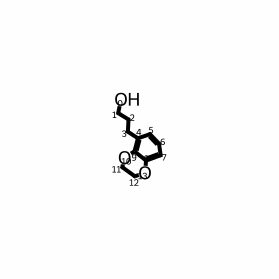 OCCCc1cccc2c1OCCO2